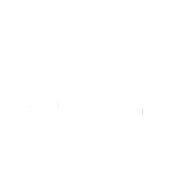 CCCCCC(Cl)(Cl)[C]=O